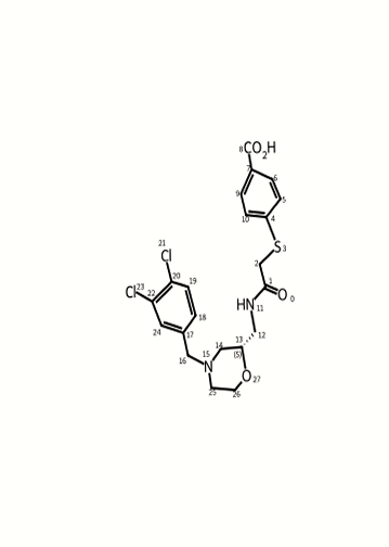 O=C(CSc1ccc(C(=O)O)cc1)NC[C@H]1CN(Cc2ccc(Cl)c(Cl)c2)CCO1